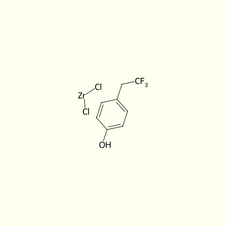 Oc1ccc(CC(F)(F)F)cc1.[Cl][Zr][Cl]